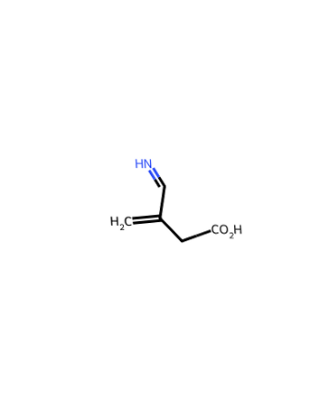 C=C(C=N)CC(=O)O